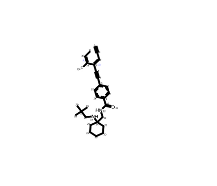 C#C/C=C(C#Cc1ccc(C(=O)NCC2(NCC(C)(C)C)CCCCC2)cc1)\C(F)=C/C